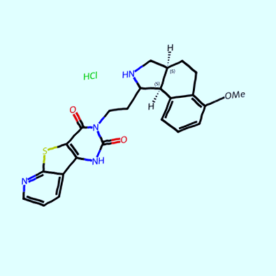 COc1cccc2c1CC[C@@H]1CNC(CCn3c(=O)[nH]c4c(sc5ncccc54)c3=O)[C@H]21.Cl